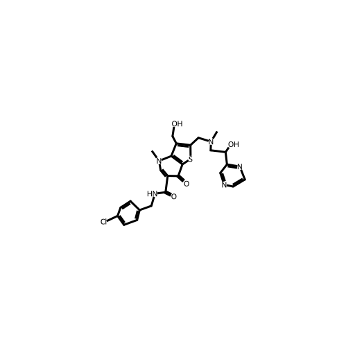 CN(Cc1sc2c(=O)c(C(=O)NCc3ccc(Cl)cc3)cn(C)c2c1CO)CC(O)c1cnccn1